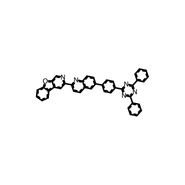 c1ccc(-c2nc(-c3ccccc3)nc(-c3ccc(-c4ccc5nc(-c6cc7c(cn6)oc6ccccc67)ccc5c4)cc3)n2)cc1